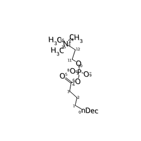 CCCCCCCCCCCCCC(=O)OP(=O)([O-])OCC[N+](C)(C)C